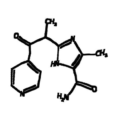 Cc1nc(C(C)C(=O)c2ccncc2)[nH]c1C(N)=O